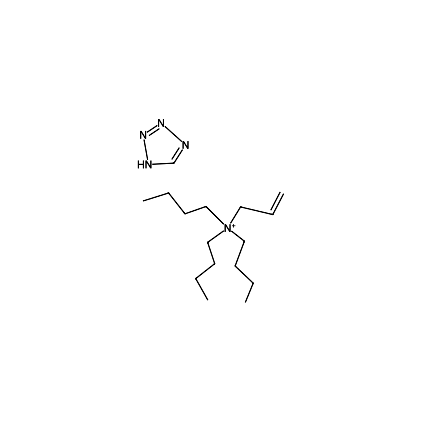 C=CC[N+](CCCC)(CCCC)CCCC.c1nnn[nH]1